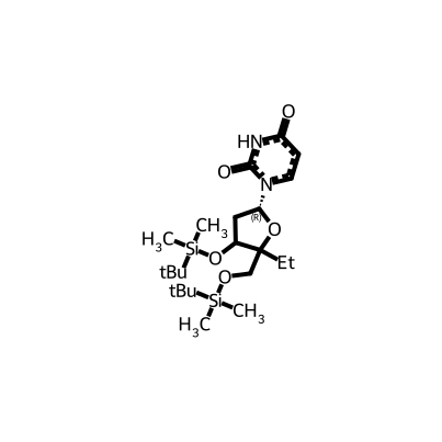 CCC1(CO[Si](C)(C)C(C)(C)C)O[C@@H](n2ccc(=O)[nH]c2=O)CC1O[Si](C)(C)C(C)(C)C